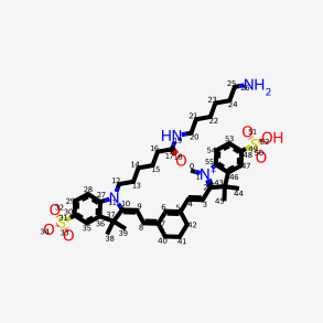 C[N+]1=C(C=CC2=CC(=CC=C3N(CCCCCC(=O)NCCCCCCN)c4ccc(S(=O)(=O)[O-])cc4C3(C)C)CCC2)C(C)(C)c2cc(S(=O)(=O)O)ccc21